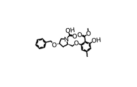 COC(=O)c1c(O)cc(C)cc1OC[C@H]1C[C@H](OCc2ccccc2)CN1C(=O)O